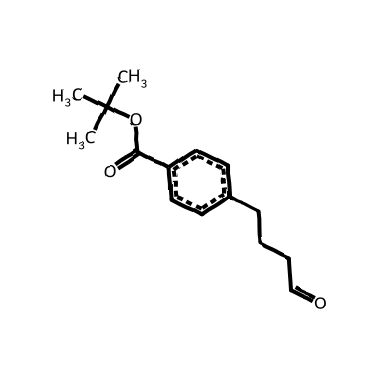 CC(C)(C)OC(=O)c1ccc(CCCC=O)cc1